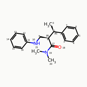 C[C@@H](c1ccccc1)[C@H](CNc1ccccc1)C(=O)N(C)C